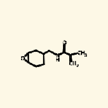 C=C(C)C(=O)NCC1CCC2OC2C1